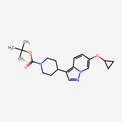 CC(C)(C)OC(=O)N1CCC(c2cnn3cc(OC4CC4)ccc23)CC1